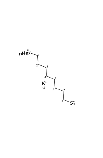 CCCCCCCCCCCCCC[S-].[K+]